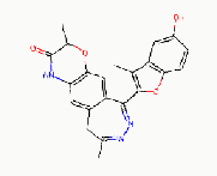 CC1=NN=C(c2oc3ccc(O)cc3c2C)c2cc3c(cc2C1)NC(=O)C(C)O3